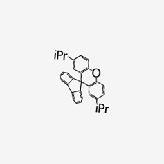 CC(C)c1ccc2c(c1)C1(c3cc(C(C)C)ccc3O2)c2ccccc2-c2ccccc21